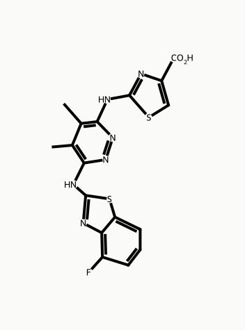 Cc1c(Nc2nc(C(=O)O)cs2)nnc(Nc2nc3c(F)cccc3s2)c1C